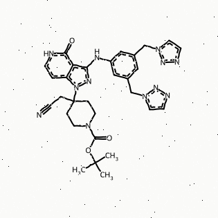 CC(C)(C)OC(=O)N1CCC(CC#N)(n2nc(Nc3cc(Cn4ccnn4)cc(Cn4ccnn4)c3)c3c(=O)[nH]ccc32)CC1